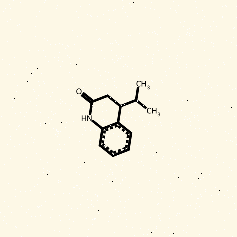 CC(C)C1CC(=O)Nc2ccccc21